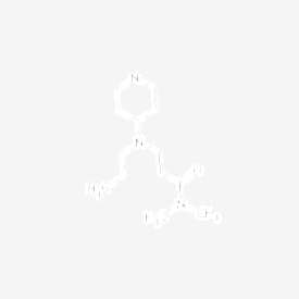 CCCN(CCC(=O)N(C)C)C1CC[N]CC1